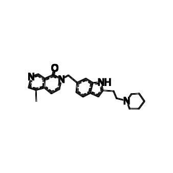 Cc1cncc2c(=O)n(Cc3ccc4cc(CCN5CCCCC5)[nH]c4c3)ccc12